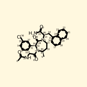 CC(=O)NCC(=O)N1[C@H](C)CCN([C@H](Cc2cccc3ccccc23)C(N)=O)C(=O)[C@@H]1c1cccc(Cl)c1